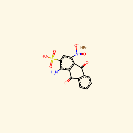 Br.Nc1c(S(=O)(=O)O)cc([N+](=O)[O-])c2c1C(=O)c1ccccc1C2=O